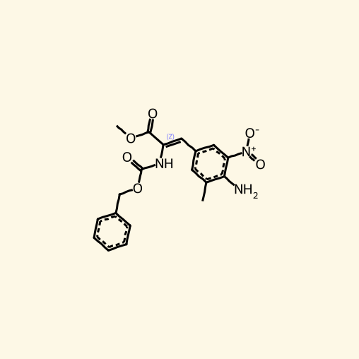 COC(=O)/C(=C/c1cc(C)c(N)c([N+](=O)[O-])c1)NC(=O)OCc1ccccc1